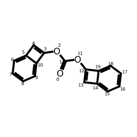 O=C(OC1=Cc2ccccc21)OC1=Cc2ccccc21